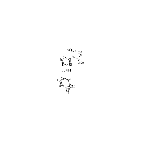 CC(C)C1COC(=O)N1c1ncnc(NCc2ccc(Cl)c(Cl)c2)n1